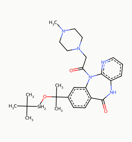 CN1CCN(CC(=O)N2c3cc(C(C)(C)O[SiH2]C(C)(C)C)ccc3C(=O)Nc3cccnc32)CC1